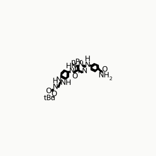 CCCNc1nc(Nc2ccc(C(N)=O)cc2)ncc1C(=O)Nc1ccc2nc(CNC(=O)OC(C)(C)C)[nH]c2c1